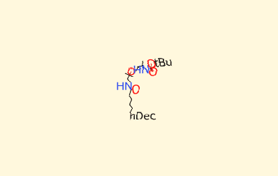 CCCCCCCCCCCCCCCC(=O)NCCC(C)(C)OCCC(C)NC(=O)OC(C)(C)C